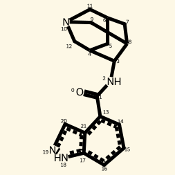 O=C(NC1C2CC3CC1CN(C3)C2)c1cccc2[nH]ncc12